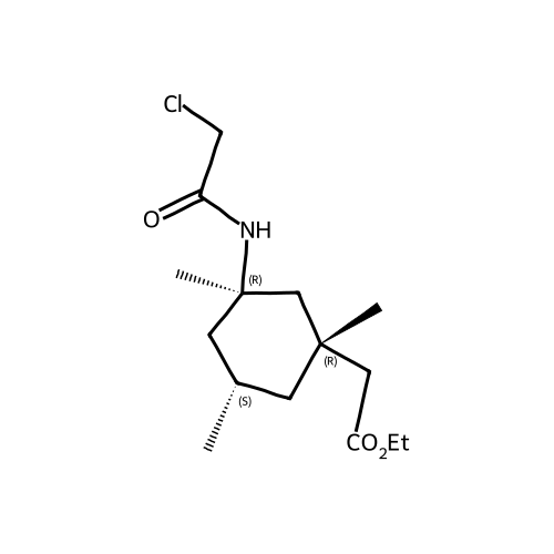 CCOC(=O)C[C@]1(C)C[C@H](C)C[C@@](C)(NC(=O)CCl)C1